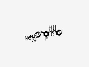 CN(C)C(=NC#N)N1CCN(Cc2cc(F)cc(NC(=O)Nc3cccnc3)c2)CC1